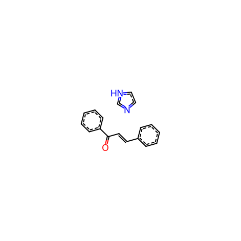 O=C(C=Cc1ccccc1)c1ccccc1.c1c[nH]cn1